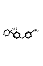 CC(C)(C)c1ccc(Sc2ccc(C3(O)CCOCC3)cc2)cc1